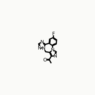 CC(=O)c1ncn2c1Cn1ncnc1-c1cc(F)ccc1-2